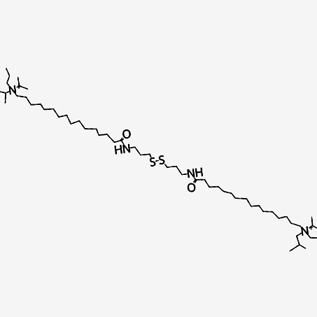 CCC[N+](CCCCCCCCCCCCCCCC(=O)NCCCSSCCCNC(=O)CCCCCCCCCCCCCCC[N+](CC)(CC(C)C)C(C)C)(C(C)C)C(C)C